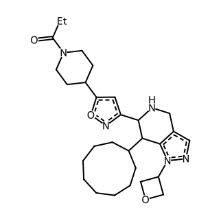 CCC(=O)N1CCC(c2cc(C3NCc4cnn(C5COC5)c4C3C3CCCCCCCC3)no2)CC1